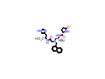 CC[C@H](C)[C@@H](CN(CC(=O)N[C@@H](Cc1c[nH]cn1)C(=O)O)Cc1cccc2ccccc12)NC(=O)[C@@H]1CCC(=O)N1